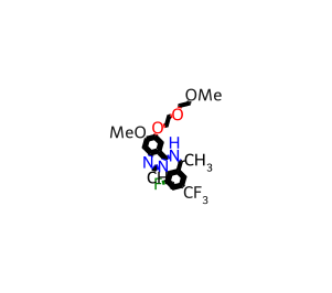 COCCOCCOc1cc2c(N[C@H](C)c3cc(F)cc(C(F)(F)F)c3)nc(C)nc2cc1OC